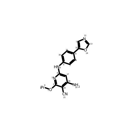 CC(C)Oc1nc(Nc2ccc(-c3cnco3)cc2)cc(N)c1C#N